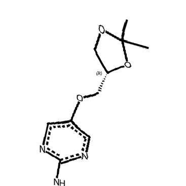 CC1(C)OC[C@@H](COc2cnc(N)nc2)O1